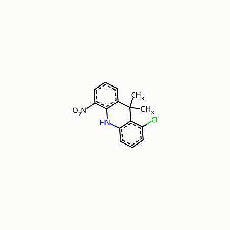 CC1(C)c2cccc([N+](=O)[O-])c2Nc2cccc(Cl)c21